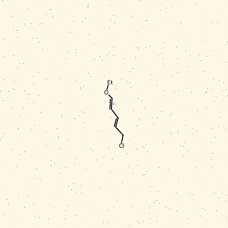 CCO/C=[C]/C=CCCl